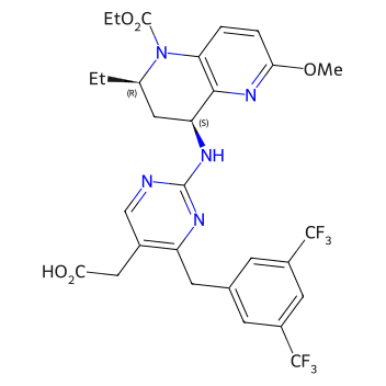 CCOC(=O)N1c2ccc(OC)nc2[C@@H](Nc2ncc(CC(=O)O)c(Cc3cc(C(F)(F)F)cc(C(F)(F)F)c3)n2)C[C@H]1CC